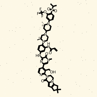 C=CC(=O)Nc1cc(Nc2nc(-c3ccnc(N4CCn5c(cc6c5CC(C)(C)C6)C4=O)c3CO)cn(C)c2=O)ccc1N1CCN(C2CCN(c3ccc(S(=O)(=O)C(C)C)c(OC(F)(F)F)c3)[C@@H](C)C2)C[C@@H]1C